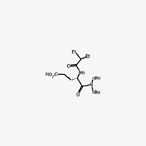 CCCCN(CCCC)C(=O)[C@H](CCC(=O)O)NC(=O)C(CC)CC